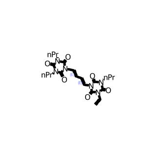 C=Cn1c(=O)n(/C=C/C=C/n2c(=O)n(CCC)c(=O)n(CCC)c2=O)c(=O)n(CCC)c1=O